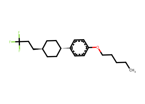 CCCCCOc1ccc([C@H]2CC[C@H](CCC(F)(F)F)CC2)cc1